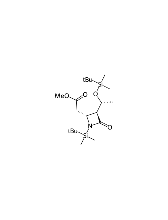 COC(=O)C[C@@H]1[C@@H]([C@@H](C)O[Si](C)(C)C(C)(C)C)C(=O)N1[Si](C)(C)C(C)(C)C